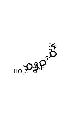 Cc1ccc(S(=O)(=O)Nc2ccc(SCc3cccc(OC(C)(F)F)c3)cc2)cc1C(=O)O